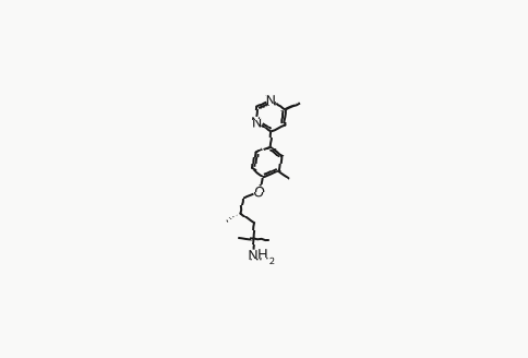 Cc1cc(-c2ccc(OC[C@@H](C)CC(C)(C)N)c(C)c2)ncn1